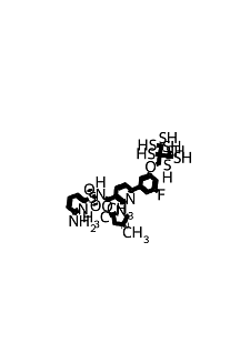 C[C@@H]1CN(c2nc(-c3cc(F)cc(OCC(S)(C(S)(S)S)C(S)(S)S)c3)ccc2C(=O)NS(=O)(=O)c2cccc(N)n2)C(C)(C)C1